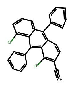 C#Cc1ccc2c(-c3ccccc3)c3cccc(Cl)c3c(-c3ccccc3)c2c1Cl